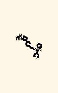 CC(=O)Nc1cccc(C2CCN(CCCn3c(-c4ccncc4)nc4ccccc43)CC2)c1